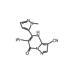 CC(C)c1c(-c2ccnn2C)[nH]c2c(C#N)cnn2c1=O